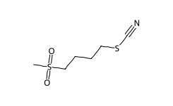 CS(=O)(=O)CCCCSC#N